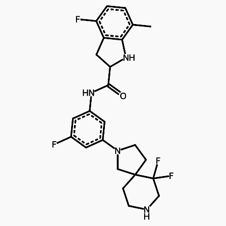 Cc1ccc(F)c2c1NC(C(=O)Nc1cc(F)cc(N3CCC4(CCNCC4(F)F)C3)c1)C2